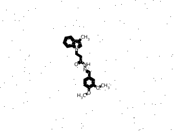 COc1ccc(C=NNC(=O)CCn2cc(C)c3ccccc32)cc1OC